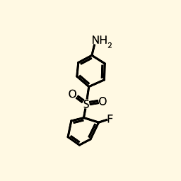 Nc1ccc(S(=O)(=O)c2ccccc2F)cc1